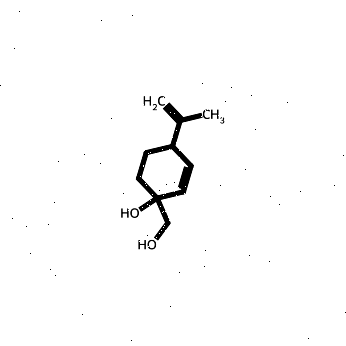 C=C(C)C1C=CC(O)(CO)CC1